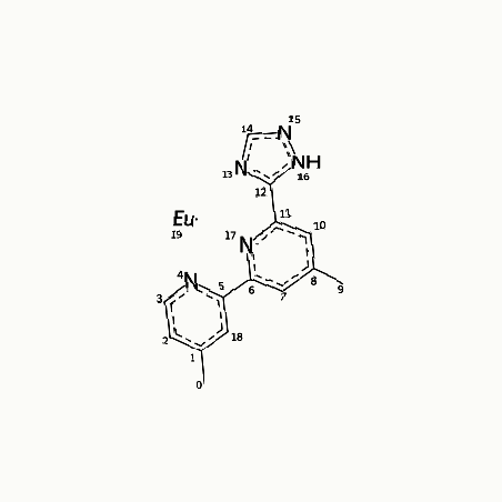 Cc1ccnc(-c2cc(C)cc(-c3ncn[nH]3)n2)c1.[Eu]